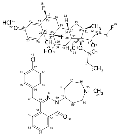 CCC(=O)O[C@]1(C(=O)SCF)[C@H](C)C[C@H]2C3C[C@H](F)C4=CC(=O)C=C[C@]4(C)[C@@]3(F)[C@@H](O)C[C@@]21C.CN1CCCC(n2nc(Cc3ccc(Cl)cc3)c3ccccc3c2=O)CC1.Cl